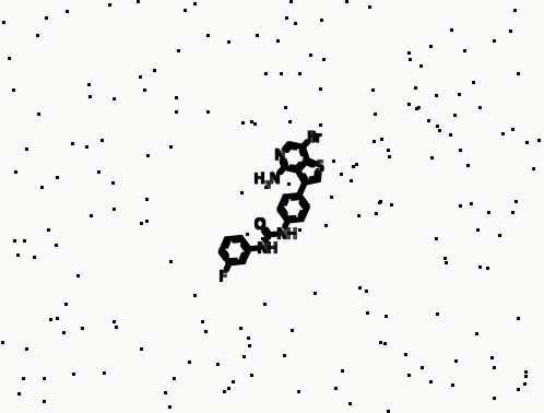 Nc1ncc(Br)c2scc(-c3ccc(NC(=O)Nc4cccc(F)c4)cc3)c12